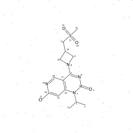 CC(C)n1c(=O)nc(N2CC(CS(C)(=O)=O)C2)c2cnc(Cl)cc21